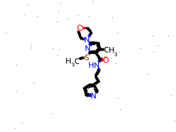 CCSc1nc(N2CCOCC2)cc(C)c1C(=O)NCCCc1cccnc1